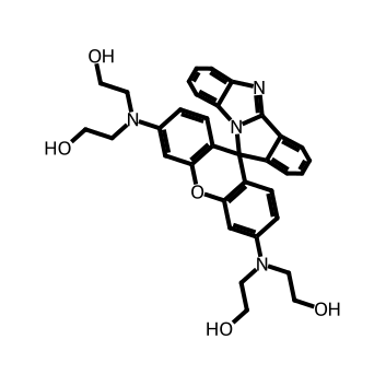 OCCN(CCO)c1ccc2c(c1)Oc1cc(N(CCO)CCO)ccc1C21c2ccccc2-c2nc3ccccc3n21